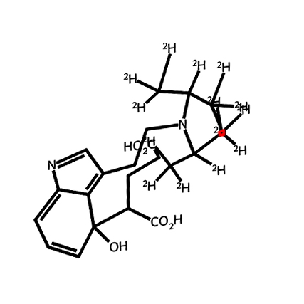 [2H]C([2H])([2H])C([2H])(N(CCC1=C2C(=CC=CC2(O)C(CCC(=O)O)C(=O)O)N=C1)C([2H])(C([2H])([2H])[2H])C([2H])([2H])[2H])C([2H])([2H])[2H]